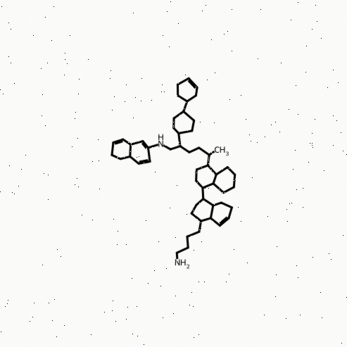 CC(CCC(CNC1=CC2C=CCCC2C=C1)C1CCC(C2CC=CCC2)CC1)C1CCC(C2CCC(CCCCN)C3C=CCCC32)C2CCCCC12